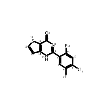 O=c1nc(-c2cc(F)c(Cl)cc2F)[nH]c2ccsc12